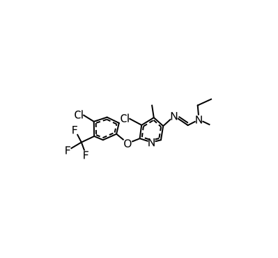 CCN(C)/C=N/c1cnc(Oc2ccc(Cl)c(C(F)(F)F)c2)c(Cl)c1C